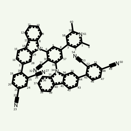 Cc1cc(-c2cc(-n3c4ccccc4c4ccc(-c5ccc(C#N)cc5C#N)cc43)c(C#N)c(-n3c4ccccc4c4ccc(-c5ccc(C#N)cc5C#N)cc43)c2)cc(C)n1